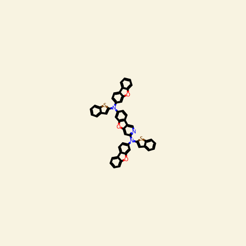 c1ccc2sc(N(c3ccc4c(c3)oc3ccccc34)c3ccc4c(c3)oc3cc(N(c5ccc6c(c5)oc5ccccc56)c5cc6ccccc6s5)ncc34)cc2c1